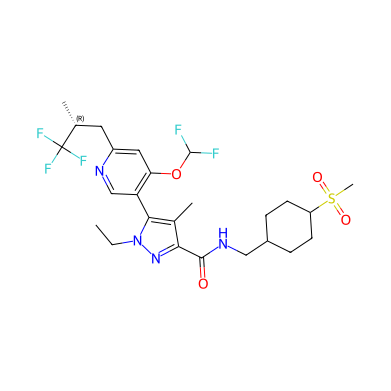 CCn1nc(C(=O)NCC2CCC(S(C)(=O)=O)CC2)c(C)c1-c1cnc(C[C@@H](C)C(F)(F)F)cc1OC(F)F